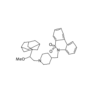 COC(CN1CCC(CN2c3ccccc3-c3ccccc3S2(=O)=O)CC1)C12CC3CC(CC(C3)C1)C2